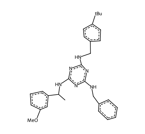 COc1cccc(C(C)Nc2nc(NCc3ccccc3)nc(NCc3ccc(C(C)(C)C)cc3)n2)c1